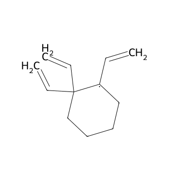 C=C[C]1CCCCC1(C=C)C=C